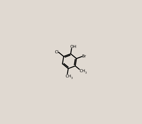 Cc1cc(Cl)c(O)c(Br)c1C